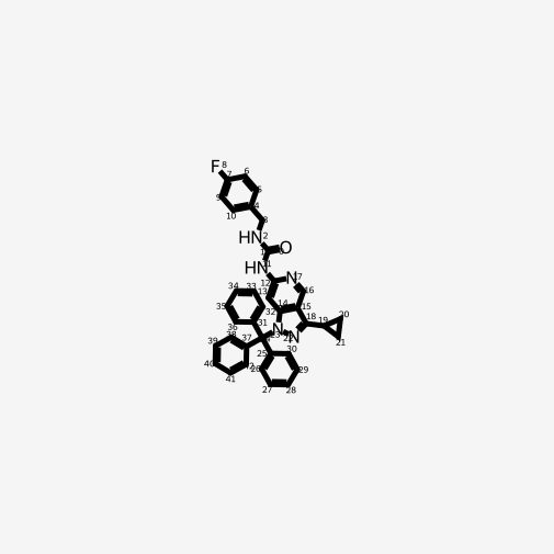 O=C(NCc1ccc(F)cc1)Nc1cc2c(cn1)c(C1CC1)nn2C(c1ccccc1)(c1ccccc1)c1ccccc1